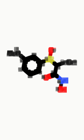 CCCCCCCCC(C(=O)NO)[S+]([O-])c1cccc(OC)c1